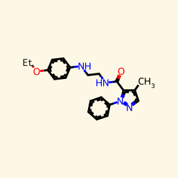 CCOc1ccc(NCCNC(=O)c2c(C)cnn2-c2ccccc2)cc1